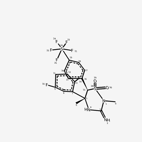 CN1C(=N)N[C@](C)(c2cc(F)ccc2F)[C@@H](c2ccc(S(F)(F)(F)(F)F)cc2)S1(=O)=O